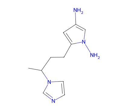 CC(CCc1cc(N)cn1N)n1ccnc1